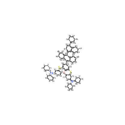 C1=CCCC(N(c2ccccc2)c2ccc3c(c2)Sc2cc(-c4c5ccccc5c(-c5ccc(-c6ccccc6)c6ccccc56)c5ccccc45)cc4c2B3c2ccc(N(c3ccccc3)c3ccccc3)cc2S4)=C1